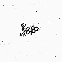 C[C@@H]1C[C@H]2[C@@H]3CCC4=CC(=O)C=C[C@]4(C)[C@@]3(F)[C@@H](O)C[C@]2(C)[C@@]1(OC(=O)c1ccco1)C(=O)SCF